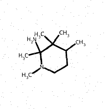 CC1CCN(C)C(C)(N)C1(C)C